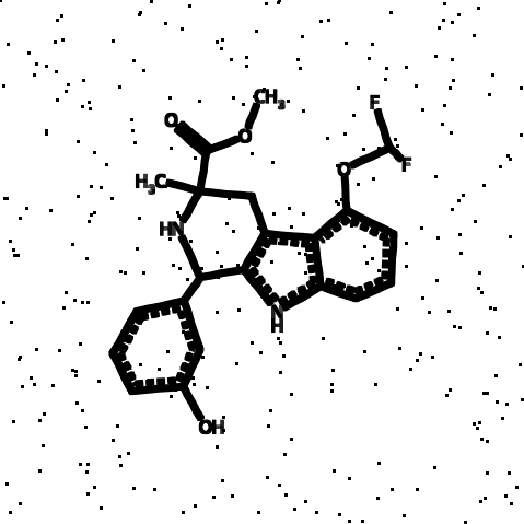 COC(=O)C1(C)Cc2c([nH]c3cccc(OC(F)F)c23)C(c2cccc(O)c2)N1